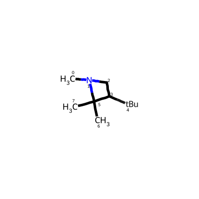 CN1CC(C(C)(C)C)C1(C)C